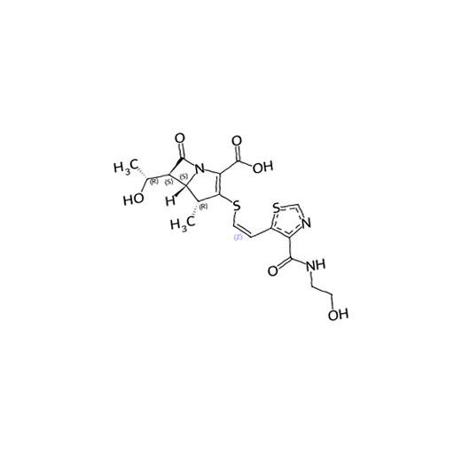 C[C@@H](O)[C@H]1C(=O)N2C(C(=O)O)=C(S/C=C\c3scnc3C(=O)NCCO)[C@H](C)[C@H]12